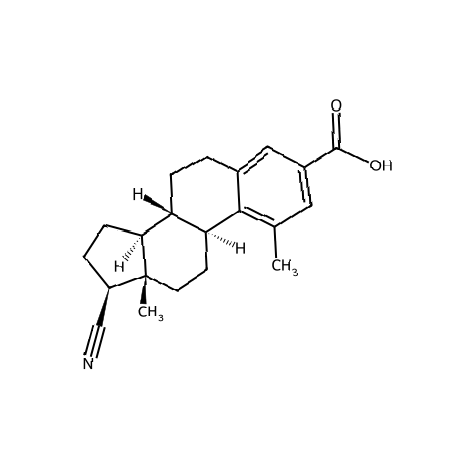 Cc1cc(C(=O)O)cc2c1[C@H]1CC[C@]3(C)[C@@H](C#N)CC[C@H]3[C@@H]1CC2